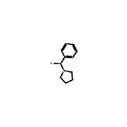 CC(=O)[C@@H](c1ccccc1)N1CCCC1